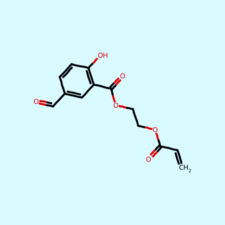 C=CC(=O)OCCOC(=O)c1cc(C=O)ccc1O